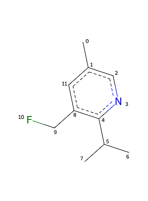 Cc1cnc(C(C)C)c(CF)c1